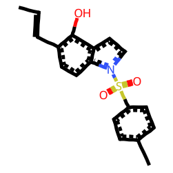 CC=Cc1ccc2c(ccn2S(=O)(=O)c2ccc(C)cc2)c1O